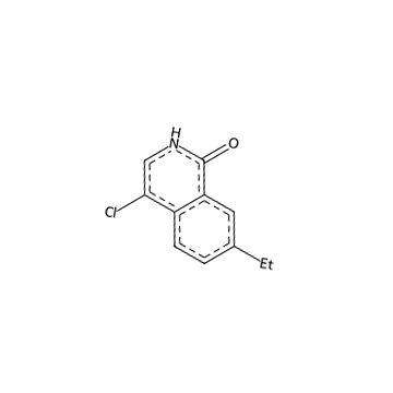 CCc1ccc2c(Cl)c[nH]c(=O)c2c1